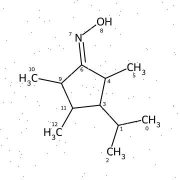 CC(C)C1C(C)/C(=N\O)C(C)C1C